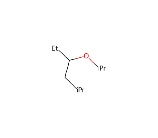 CCC(CC(C)C)OC(C)C